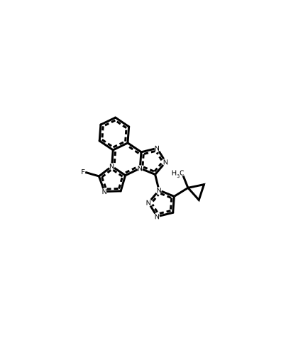 CC1(c2cnnn2-c2nnc3c4ccccc4n4c(F)ncc4n23)CC1